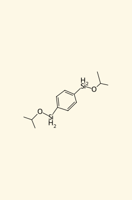 CC(C)O[SiH2]c1ccc([SiH2]OC(C)C)cc1